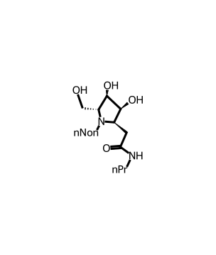 CCCCCCCCCN1[C@H](CC(=O)NCCC)[C@H](O)[C@H](O)[C@H]1CO